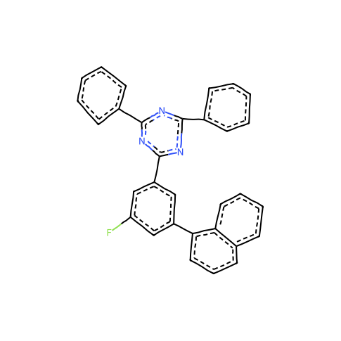 Fc1cc(-c2nc(-c3ccccc3)nc(-c3ccccc3)n2)cc(-c2cccc3ccccc23)c1